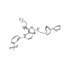 CS(=O)(=O)c1cccc(-c2ccc3nc(NCc4ccc(-n5cccn5)cc4)nc(NCC(F)(F)F)c3n2)c1